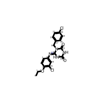 CCOc1ccc(/N=c2\[nH]c(=O)[nH]c(=O)n2Cc2ccc(Cl)cc2)cc1Cl